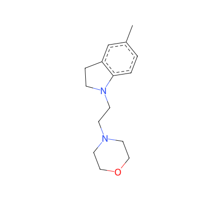 Cc1ccc2c(c1)CCN2CCN1CCOCC1